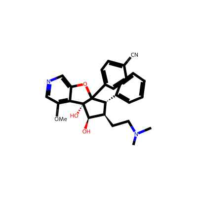 COc1cncc2c1[C@]1(O)[C@H](O)[C@H](CCN(C)C)[C@@H](c3ccccc3)C1(c1ccc(C#N)cc1)O2